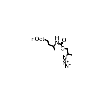 CCCCCCCCCCC(C)NC(=O)OCC(C)N=[N+]=[N-]